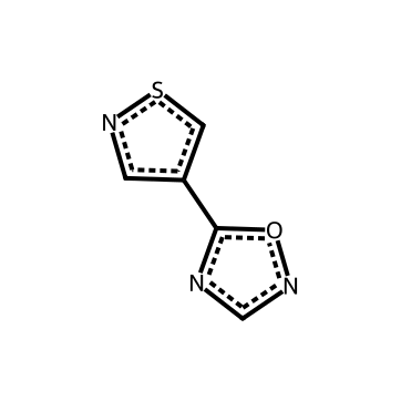 c1noc(-c2cnsc2)n1